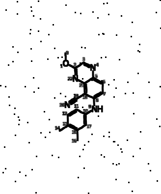 COc1cnc2ccc(Nc3ccc(C)c(C)c3)c(C#N)c2n1